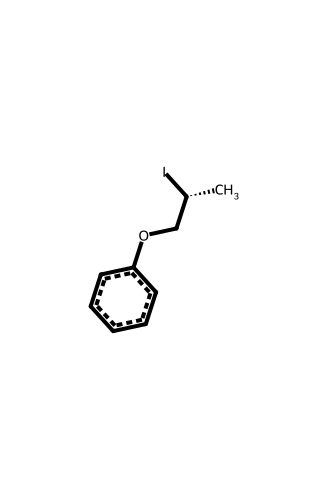 C[C@@H](I)COc1ccccc1